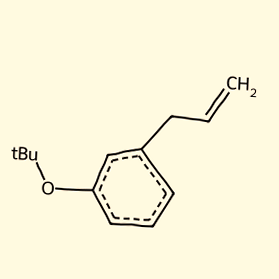 C=CCc1cccc(OC(C)(C)C)c1